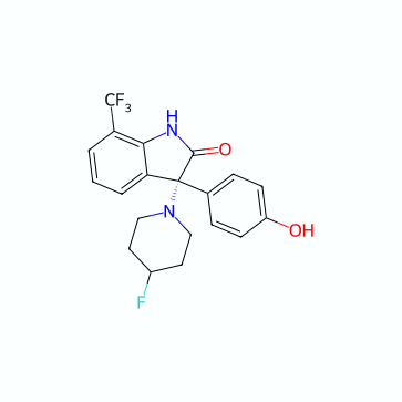 O=C1Nc2c(C(F)(F)F)cccc2[C@@]1(c1ccc(O)cc1)N1CCC(F)CC1